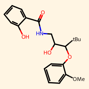 COc1ccccc1OC(C(O)CNC(=O)c1ccccc1O)C(C)(C)C